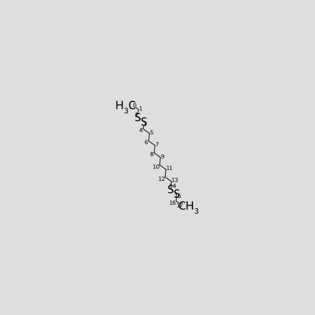 CCSSCCCCCCCCCCSSCC